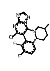 CC1CCCN(c2c(-c3c(F)ccc(F)c3F)c(Cl)nc3ncnn23)C1